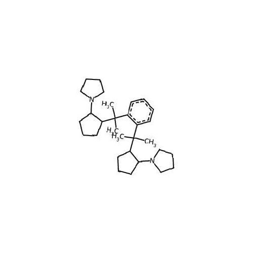 CC(C)(c1ccccc1C(C)(C)C1CCC[C]1N1CCCC1)C1CCC[C]1N1CCCC1